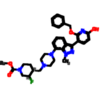 Cn1nc(-c2ccc(O)nc2OCc2ccccc2)c2cccc(N3CCN(C[C@H]4CCN(C(=O)OC(C)(C)C)C[C@@H]4F)CC3)c21